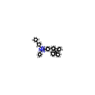 c1ccc(-c2ccc(-c3nc(-c4ccccc4)nc(-c4ccc(-c5ccc6c(c5)[Si](c5ccccc5)(c5ccccc5)c5ccccc5-6)cc4)n3)cc2)cc1